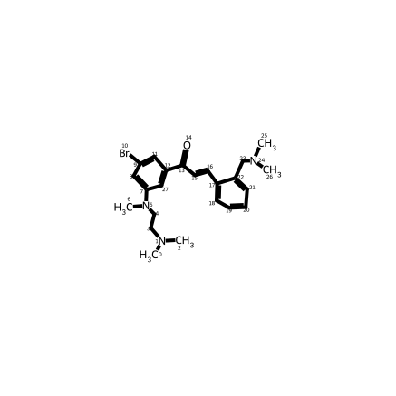 CN(C)CCN(C)c1cc(Br)cc(C(=O)C=Cc2ccccc2CN(C)C)c1